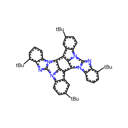 CC(C)(C)c1ccc2c(c1)c1c3c4c(c5cc(C(C)(C)C)ccc5n4c4nc5c(C(C)(C)C)cccc5n34)c3c1n2c1nc2c(C(C)(C)C)cccc2n31